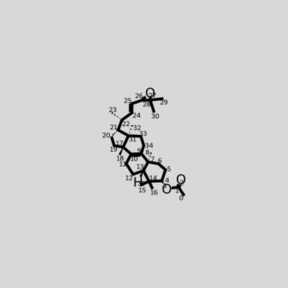 CC(=O)O[C@H]1CC[C@]2(C)C3=C(CC[C@H]2C1(C)C)[C@]1(C)CC[C@H]([C@H](C)/C=C/C2OC2(C)C)[C@@]1(C)CC3